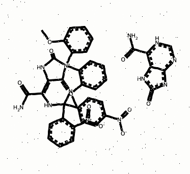 COc1ccccc1[N+]1(c2ccccc2OC)C(=O)NC2=C(C(N)=O)NC(c3ccc([N+](=O)[O-])cc3)(c3ccccc3[N+](=O)[O-])N=C21.NC(=O)c1[nH]cnc2nc(=O)[nH]c1-2